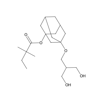 CCC(C)(C)C(=O)OC12CC3CC(CC(OCC(CO)CO)(C3)C1)C2